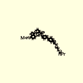 CCCOCCOCCOc1ccc(-c2ccc(NC(=O)c3cccn(C4CCc5c(OC)cccc54)c3=O)cc2)cc1